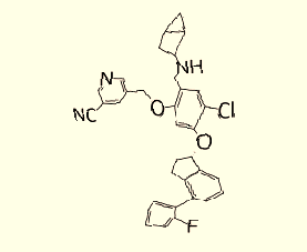 N#Cc1cncc(COc2cc(O[C@H]3CCc4c(-c5ccccc5F)cccc43)c(Cl)cc2CNC2CC3CC32)c1